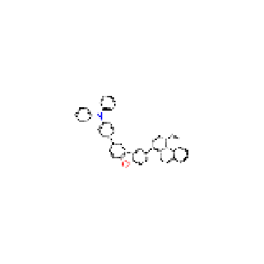 C1=CC2=CCc3c(-c4ccc5oc6ccc(-c7ccc(N(c8ccccc8)c8ccccc8)cc7)cc6c5c4)ccc4c3C2C(=C1)C=C4